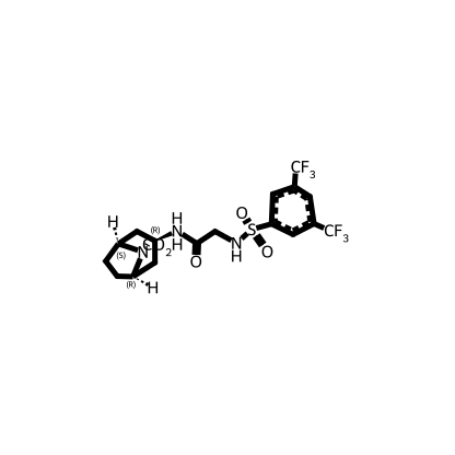 O=C(CNS(=O)(=O)c1cc(C(F)(F)F)cc(C(F)(F)F)c1)N[C@H]1C[C@H]2CC[C@@H](C1)N2C(=O)O